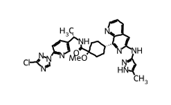 CO[C@]1(C(=O)N[C@@H](C)c2ccc(-n3cnc(Cl)n3)nc2)CC[C@@H](c2nc(Nc3cc(C)[nH]n3)cc3cccnc32)CC1